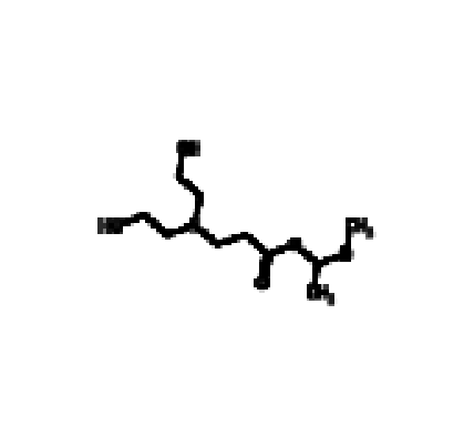 COC(C)OC(=O)CCN(CCO)CCO